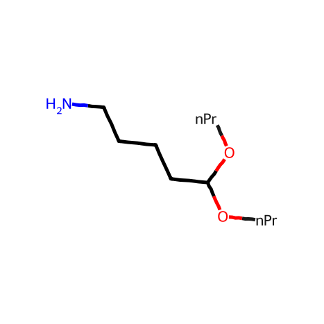 CCCOC(CCCCN)OCCC